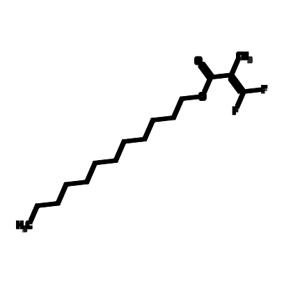 CCCCCCCCCCCCOC(=O)C(C)=C(F)F